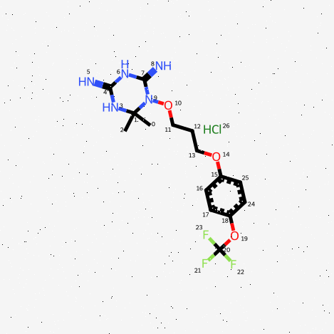 CC1(C)NC(=N)NC(=N)N1OCCCOc1ccc(OC(F)(F)F)cc1.Cl